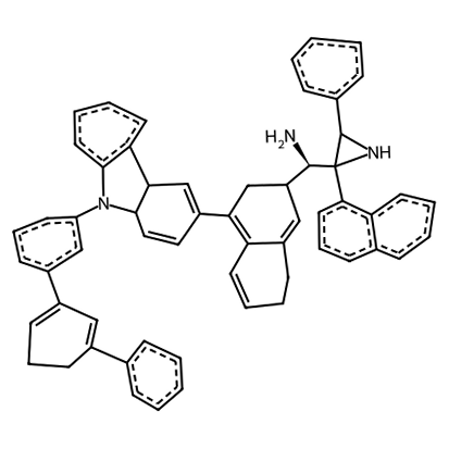 N[C@H](C1C=C2CCC=CC2=C(C2=CC3c4ccccc4N(c4cccc(C5=CCCC(c6ccccc6)=C5)c4)C3C=C2)C1)C1(c2cccc3ccccc23)NC1c1ccccc1